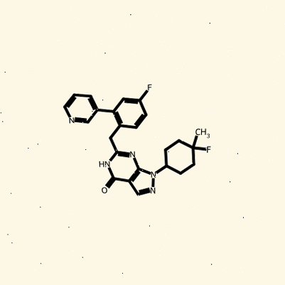 CC1(F)CCC(n2ncc3c(=O)[nH]c(Cc4ccc(F)cc4-c4cccnc4)nc32)CC1